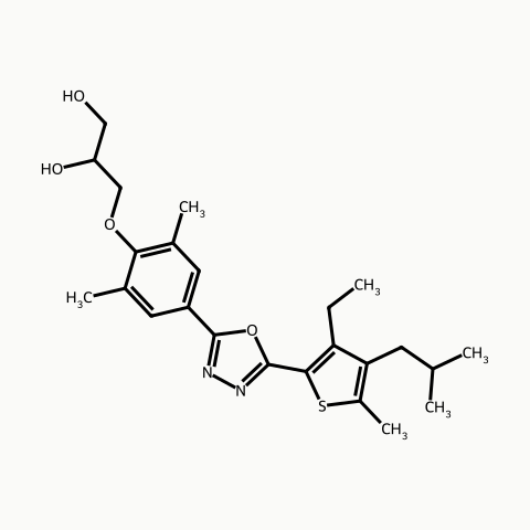 CCc1c(-c2nnc(-c3cc(C)c(OCC(O)CO)c(C)c3)o2)sc(C)c1CC(C)C